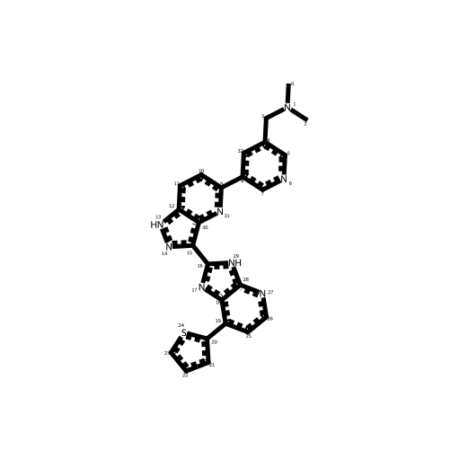 CN(C)Cc1cncc(-c2ccc3[nH]nc(-c4nc5c(-c6cccs6)ccnc5[nH]4)c3n2)c1